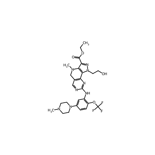 CCOC(=O)c1nn(CCO)c2c1N(C)Cc1cnc(Nc3cc(N4CCN(C)CC4)ccc3OC(F)(F)F)nc1-2